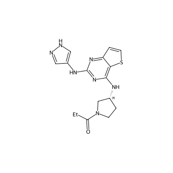 CCC(=O)N1CC[C@@H](Nc2nc(Nc3cn[nH]c3)nc3ccsc23)C1